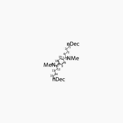 CCCCCCCCCCCCCCC(NC)c1ccc(C(CCCCCCCCCCCCCC)NC)cc1